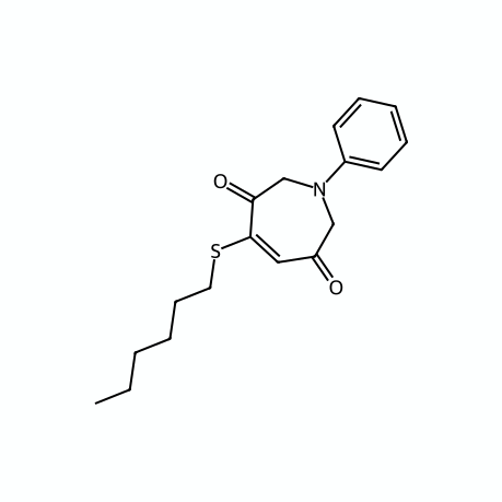 CCCCCCSC1=CC(=O)CN(c2ccccc2)CC1=O